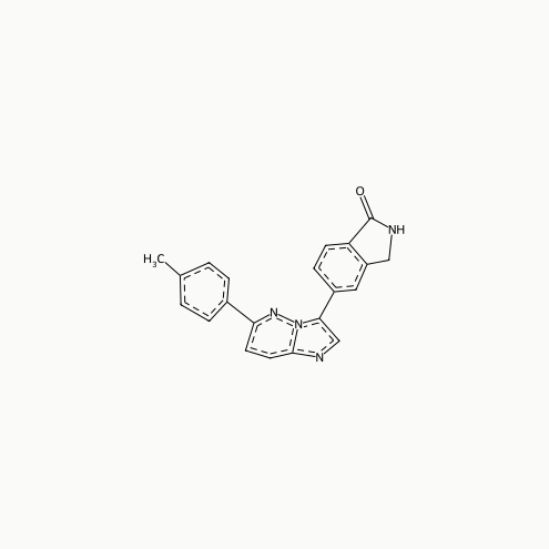 Cc1ccc(-c2ccc3ncc(-c4ccc5c(c4)CNC5=O)n3n2)cc1